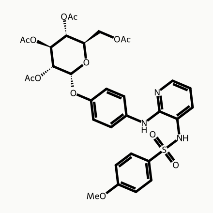 COc1ccc(S(=O)(=O)Nc2cccnc2Nc2ccc(O[C@H]3O[C@H](COC(C)=O)[C@@H](OC(C)=O)[C@H](OC(C)=O)[C@H]3OC(C)=O)cc2)cc1